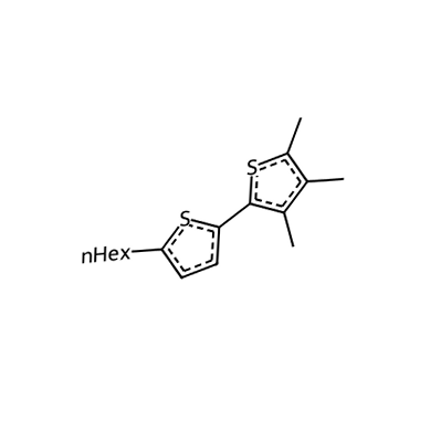 CCCCCCc1ccc(-c2sc(C)c(C)c2C)s1